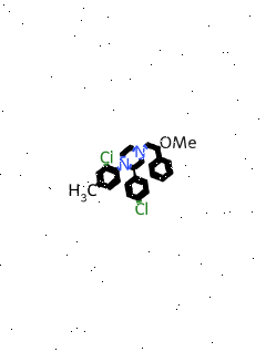 CO[C@H](CN1CCN(c2ccc(C)cc2Cl)[C@H](c2ccc(Cl)cc2)C1)c1ccccc1